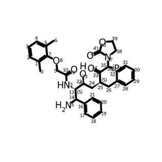 Cc1cccc(C)c1OCC(=O)N[C@@H](C(N)c1ccccc1)[C@@H](O)C[C@H](Cc1ccccc1)C(=O)C(C(C)C)N1CCOC1=O